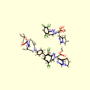 CCOC(=O)[C@@H](c1ncn2c1CCC2)n1cc2c(Cl)cc(-c3ccc(N4CCN(C(=O)OC(C)(C)C)CC4)cc3)c(Cl)c2n1.O=C(O)[C@@H](c1ncn2c1CCC2)n1cc2c(Cl)cc(Br)c(Cl)c2n1